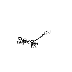 CC(C)(C)N1C[C@@H](COc2ccc(CCCCCCCCCCO)c3[nH]c(C#N)cc23)OC1c1ccccc1